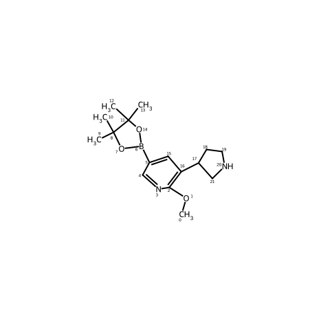 COc1ncc(B2OC(C)(C)C(C)(C)O2)cc1C1CCNC1